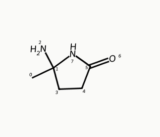 CC1(N)CCC(=O)N1